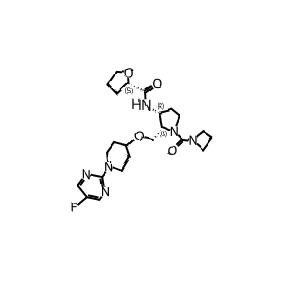 O=C(N[C@@H]1CCN(C(=O)N2CCC2)[C@@H]1COC1CCN(c2ncc(F)cn2)CC1)[C@@H]1CCCO1